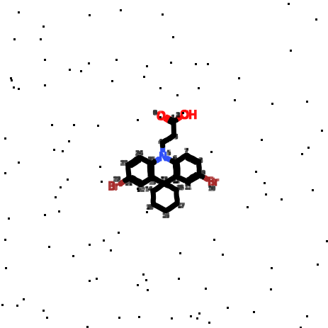 O=C(O)CCN1c2ccc(Br)cc2C2(CCCCC2)c2cc(Br)ccc21